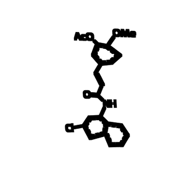 COc1ccc(C=CC(=O)Nc2cc(Cl)cc3ccccc23)cc1OC(C)=O